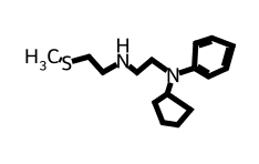 CSCCNCCN(c1ccccc1)C1CCCC1